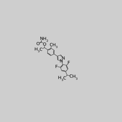 Cc1cc(-c2cnn(-c3c(F)cc(C(C)C)cc3F)c2)ccc1C(C)OC(N)=O